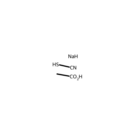 CC(=O)O.N#CS.[NaH]